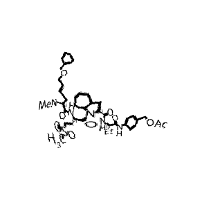 CC[C@H](NC(=O)[C@@H]1CC2CCCCC2N1C(=O)[C@H](CCS(C)(=O)=O)NC(=O)[C@H](CCCCOCc1ccccc1)NC)C(=O)Nc1ccc(COC(C)=O)cc1